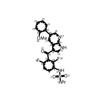 CCCS(=O)(=O)Nc1ccc(F)c(C(=O)c2c[nH]c3ncc(-c4ccccc4OC)cc23)c1F